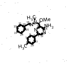 CO[C@H](c1nc(-c2ccc(C)cc2)cnc1N)N(C)/N=C/c1ccccc1